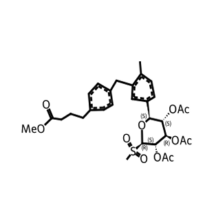 COC(=O)CCCc1ccc(Cc2cc([C@@H]3O[C@H](S(C)(=O)=O)[C@@H](OC(C)=O)[C@H](OC(C)=O)[C@H]3OC(C)=O)ccc2C)cc1